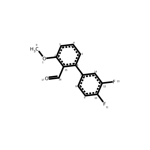 COc1cccc(-c2ccc(F)c(F)c2)c1C=O